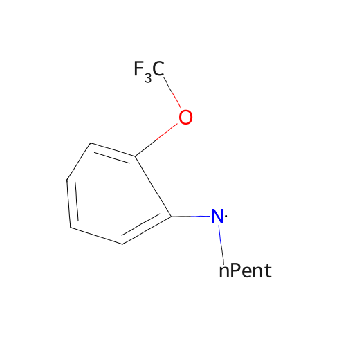 CCCCC[N]c1ccccc1OC(F)(F)F